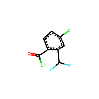 O=C(Cl)c1ccc(Cl)cc1C(F)F